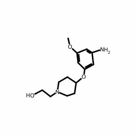 COc1cc(N)cc(OC2CCN(CCO)CC2)c1